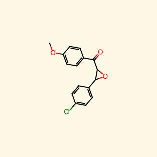 COc1ccc(C(=O)C2OC2c2ccc(Cl)cc2)cc1